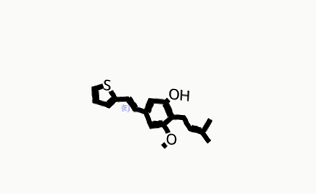 COc1cc(/C=C/c2cccs2)cc(O)c1CC=C(C)C